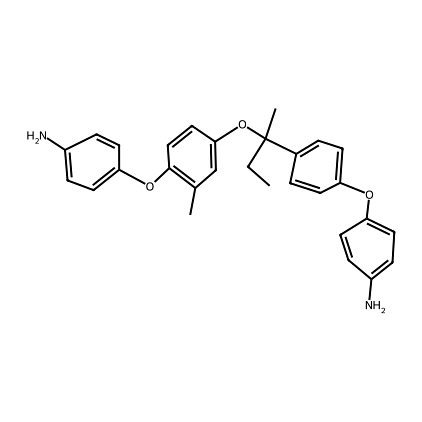 CCC(C)(Oc1ccc(Oc2ccc(N)cc2)c(C)c1)c1ccc(Oc2ccc(N)cc2)cc1